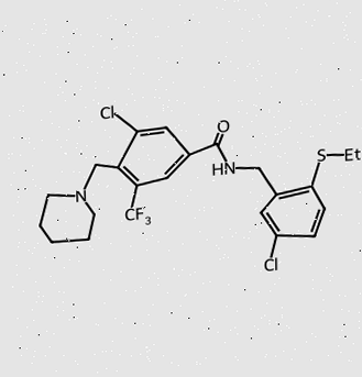 CCSc1ccc(Cl)cc1CNC(=O)c1cc(Cl)c(CN2CCCCC2)c(C(F)(F)F)c1